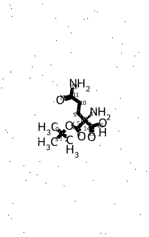 CC(C)(C)OC(=O)[C@](N)(CCC(N)=O)C(=O)O